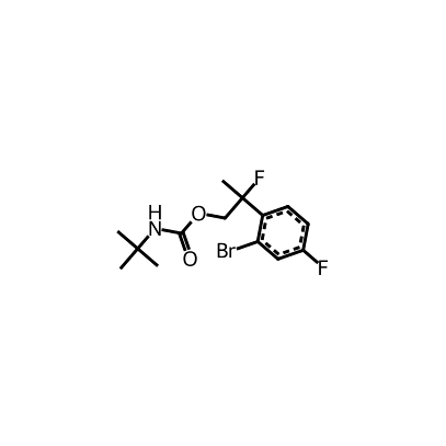 CC(C)(C)NC(=O)OCC(C)(F)c1ccc(F)cc1Br